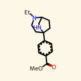 CCN1CCC2(c3ccc(C(=O)OC)cc3)CCC1CN2